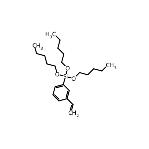 C=Cc1cccc([Si](OCCCCC)(OCCCCC)OCCCCC)c1